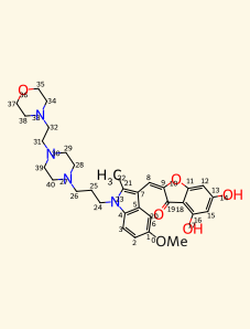 COc1ccc2c(c1)c(C=C1Oc3cc(O)cc(O)c3C1=O)c(C)n2CCCN1CCN(CCN2CCOCC2)CC1